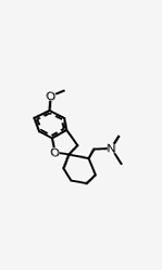 COc1ccc2c(c1)CC1(CCCCC1CN(C)C)O2